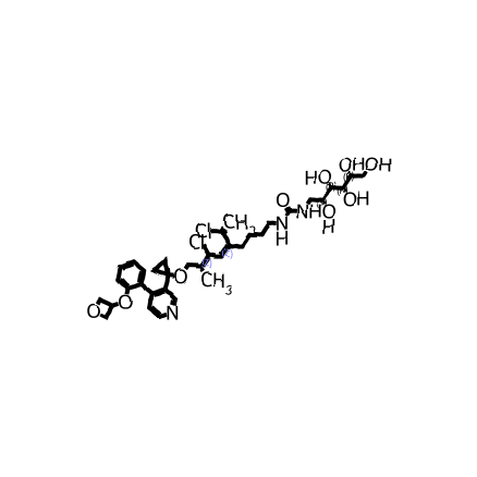 C=C(Cl)/C(=C\C(Cl)=C(/C)COC1(c2cnccc2-c2ccccc2OC2COC2)CC1)CCCCNC(=O)NC[C@H](O)[C@@H](O)[C@H](O)[C@H](O)CO